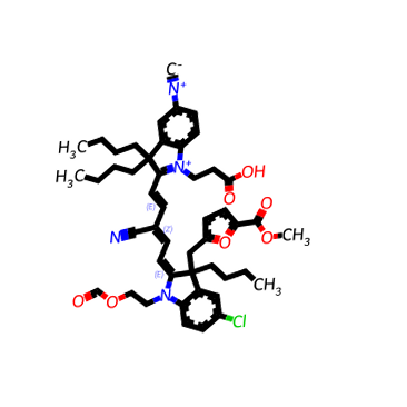 [C-]#[N+]c1ccc2c(c1)C(CCCC)(CCCC)C(/C=C/C(C#N)=C/C=C1/N(CCOC=O)c3ccc(Cl)cc3C1(CCCC)Cc1ccc(C(=O)OC)o1)=[N+]2CCC(=O)O